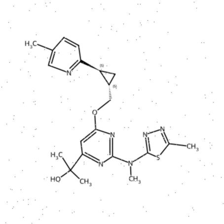 Cc1ccc([C@H]2C[C@@H]2COc2cc(C(C)(C)O)nc(N(C)c3nnc(C)s3)n2)nc1